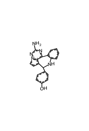 Nc1nc2c3c(ccn3n1)C(c1ccc(O)cc1)Nc1ccccc1-2